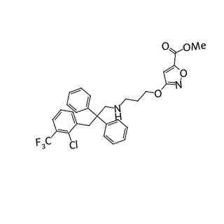 COC(=O)c1cc(OCCCNCC(Cc2cccc(C(F)(F)F)c2Cl)(c2ccccc2)c2ccccc2)no1